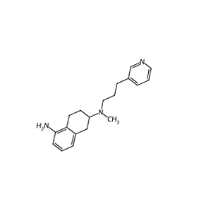 CN(CCCc1cccnc1)C1CCc2c(N)cccc2C1